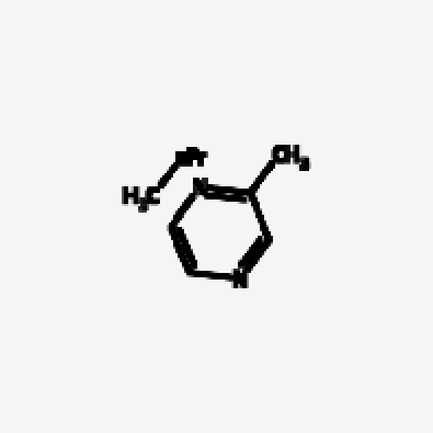 CCCC.Cc1cnccn1